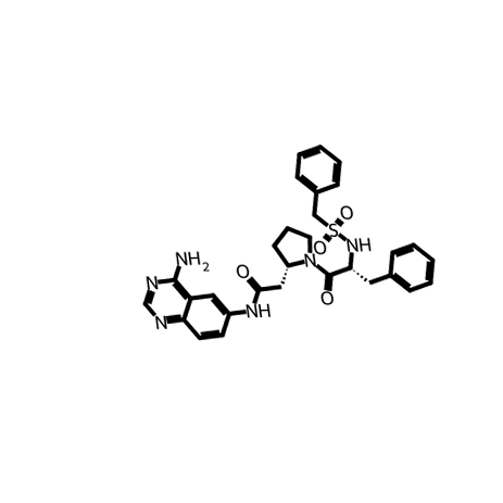 Nc1ncnc2ccc(NC(=O)C[C@@H]3CCCN3C(=O)[C@@H](Cc3ccccc3)NS(=O)(=O)Cc3ccccc3)cc12